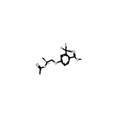 COC(=O)c1ccc(OC[C@H](C)OC(C)=O)cc1C(F)(F)F